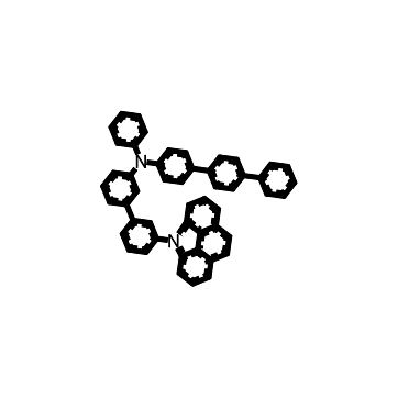 c1ccc(-c2ccc(-c3ccc(N(c4ccccc4)c4cccc(-c5cccc(-n6c7cccc8ccc9cccc6c9c87)c5)c4)cc3)cc2)cc1